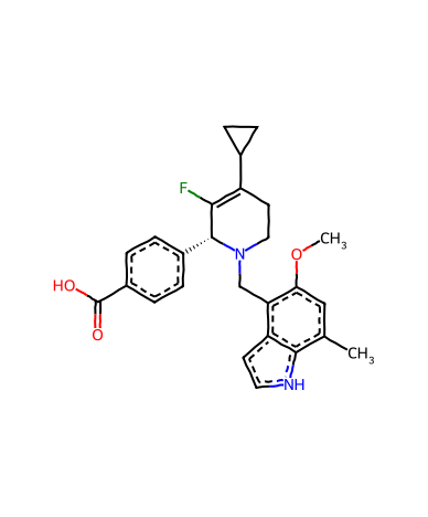 COc1cc(C)c2[nH]ccc2c1CN1CCC(C2CC2)=C(F)[C@H]1c1ccc(C(=O)O)cc1